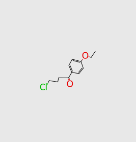 CCOc1ccc(C(=O)CCCCl)cc1